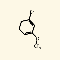 FC(F)(F)OC1=CC[CH]C(Br)=C1